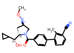 CO/N=C1\C[C@@H]([C@H](O)C2CC2)N(C(=O)c2ccc(-c3cccc(C#N)c3C)cc2)C1